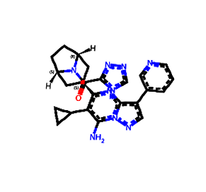 Nc1c(C2CC2)c([C@@H]2C[C@H]3CC[C@@H](C2)N3C(=O)c2nnc[nH]2)nc2c(-c3cccnc3)cnn12